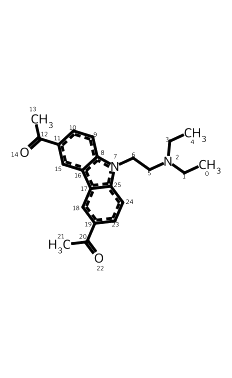 CCN(CC)CCn1c2ccc(C(C)=O)cc2c2cc(C(C)=O)ccc21